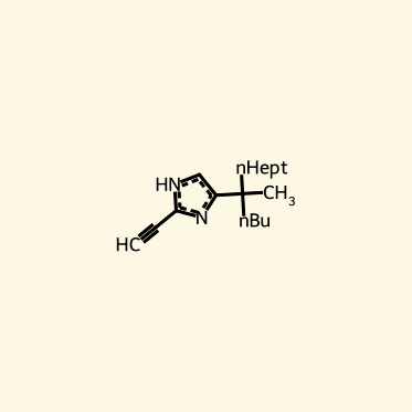 C#Cc1nc(C(C)(CCCC)CCCCCCC)c[nH]1